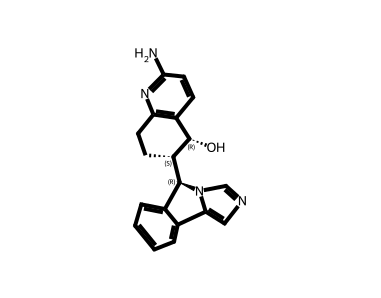 Nc1ccc2c(n1)CC[C@@H]([C@@H]1c3ccccc3-c3cncn31)[C@H]2O